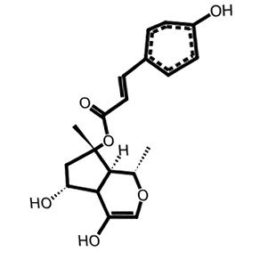 C[C@@H]1OC=C(O)C2[C@H](O)C[C@](C)(OC(=O)/C=C/c3ccc(O)cc3)[C@H]21